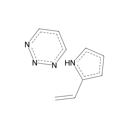 C=Cc1ccc[nH]1.c1cnnnc1